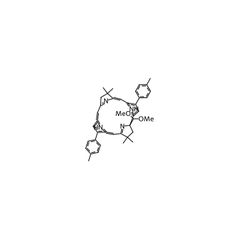 COC(OC)C12CC(C)(C)C(=N1)/C=c1\[nH]/c(cc1-c1ccc(C)cc1)=C\C1=NC(=C\c3[nH]c2cc3-c2ccc(C)cc2)/C(C)(C)C1